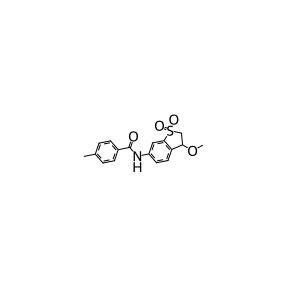 COC1CS(=O)(=O)c2cc(NC(=O)c3ccc(C)cc3)ccc21